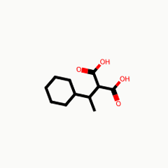 CC(C1CCCCC1)C(C(=O)O)C(=O)O